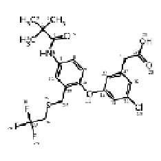 CC(C)(C)C(=O)Nc1ccc(Oc2cc(Cl)cc(CC(=O)O)c2)c(CSCC(F)(F)F)c1